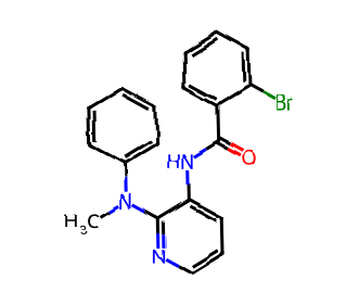 CN(c1ccccc1)c1ncccc1NC(=O)c1ccccc1Br